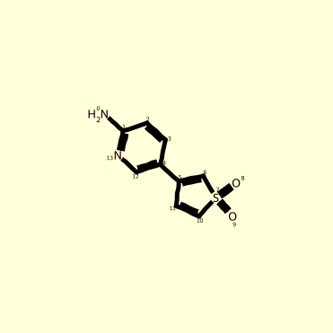 Nc1ccc(C2=CS(=O)(=O)C=C2)cn1